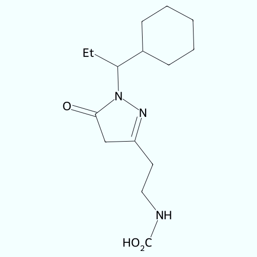 CCC(C1CCCCC1)N1N=C(CCNC(=O)O)CC1=O